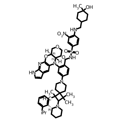 CC(C)c1ccccc1[C@H]1CCCCN1C1C(C)(C)C2(CCN(c3ccc(C(=O)NS(=O)(=O)c4ccc(NCC5CCC(C)(O)CC5)c([N+](=O)[O-])c4)c(N4c5cc6cc[nH]c6nc5O[C@H]5COCC[C@@H]54)c3)CC2)C1(C)C